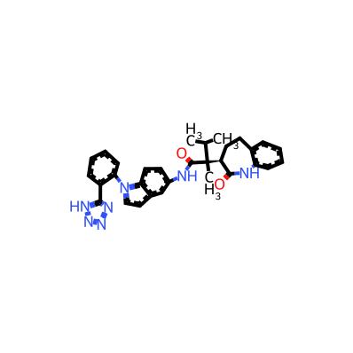 CC(C)C(C)(C(=O)Nc1ccc2c(ccn2-c2ccccc2-c2nnn[nH]2)c1)[C@H]1CCc2ccccc2NC1=O